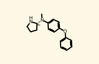 CN(c1ccc(Oc2ccccc2)cc1)[C@@H]1CCCN1